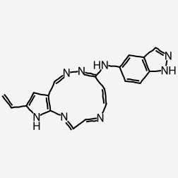 C=Cc1cc2c([nH]1)/N=C/C=N/C=C\C(Nc1ccc3[nH]ncc3c1)=N/N=C\2